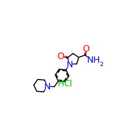 Cl.NC(=O)C1CC(=O)N(c2ccc(CN3CCCCC3)cc2)C1